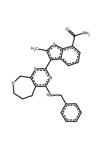 Cc1sc2c(C(N)=O)cccc2c1-c1nc2c(c(NCc3ccccc3)n1)CCCOC2